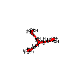 CCCCCC(COCCC(=O)NCCOCCOCCO[C@H]1OC(CO)[C@@H](O)C(O)C1O)(COCCC(=O)NCCOCCOCCO[C@H]1OC(CO)[C@@H](O)C(O)C1O)COCCC(=O)NCCOCCOCCO[C@H]1OC(CO)[C@@H](O)C(O)C1O